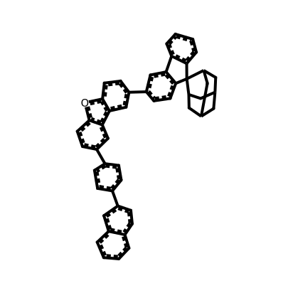 c1ccc2c(c1)-c1cc(-c3ccc4oc5ccc(-c6ccc(-c7ccc8ccccc8c7)cc6)cc5c4c3)ccc1C21C2CC3CC(C2)CC1C3